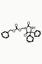 O=C(OCc1ccccc1)OCN1C(=O)NC(c2ccccc2)(c2ccccc2)C1=O